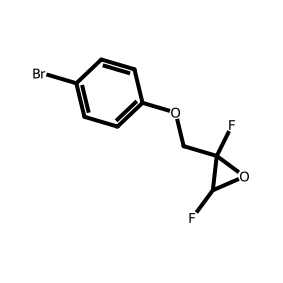 FC1OC1(F)COc1ccc(Br)cc1